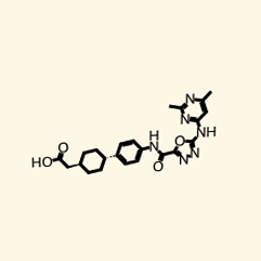 Cc1cc(Nc2nnc(C(=O)Nc3ccc([C@H]4CC[C@H](CC(=O)O)CC4)cc3)o2)nc(C)n1